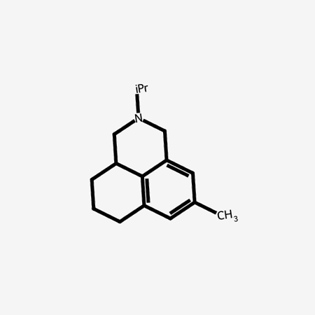 Cc1cc2c3c(c1)CN(C(C)C)CC3CCC2